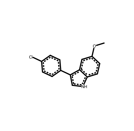 COc1ccc2[nH]cc(-c3ccc(Cl)cc3)c2c1